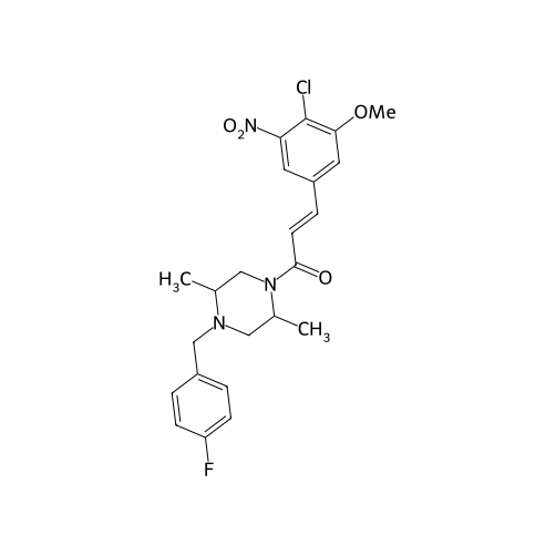 COc1cc(C=CC(=O)N2CC(C)N(Cc3ccc(F)cc3)CC2C)cc([N+](=O)[O-])c1Cl